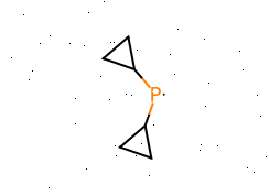 C1CC1[P]C1CC1